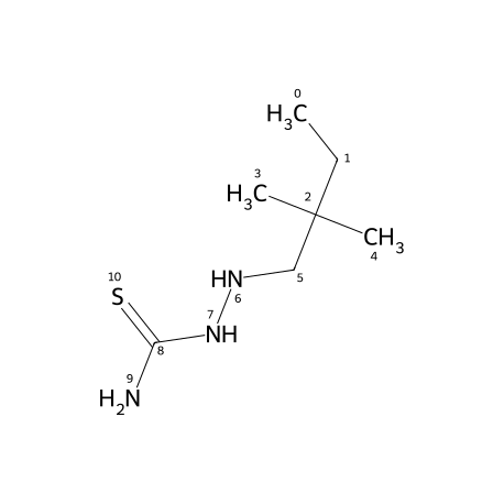 CCC(C)(C)CNNC(N)=S